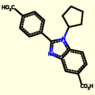 O=C(O)c1ccc(-c2nc3cc(C(=O)O)ccc3n2C2CCCC2)cc1